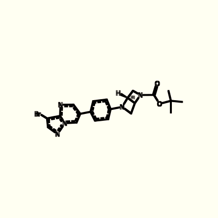 CC(C)(C)OC(=O)N1C[C@@H]2C1CN2c1ccc(-c2cnc3c(Br)cnn3c2)cc1